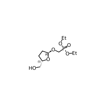 CCOP(=O)(CO[C@@H]1CC[C@@H](CO)O1)OCC